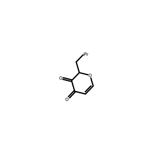 CC(C)CC1OC=CC(=O)C1=O